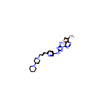 Cc1csc2c(-n3nc(Nc4ccc(/C=C/CN5CCC(N6CCCCC6)CC5)nc4)nc3N)ncnc12